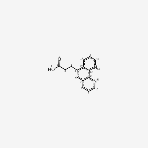 O=C(O)CCc1cc2cccnc2c2ncccc12